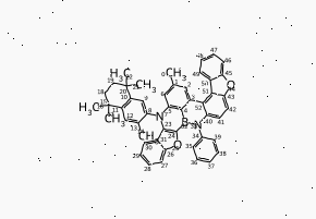 Cc1cc2c3c(c1)N(c1cc4c(cc1C)C(C)(C)CCC4(C)C)c1c(oc4ccccc14)B3N(c1ccccc1)c1ccc3oc4ccccc4c3c1-2